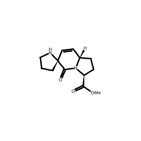 COC(=O)[C@@H]1CC[C@H]2C=C[C@]3(CCCN3)C(=O)N21